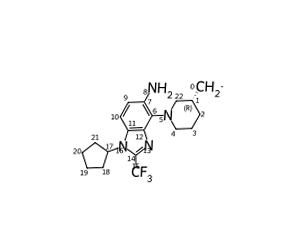 [CH2][C@@H]1CCCN(c2c(N)ccc3c2nc(C(F)(F)F)n3C2CCCC2)C1